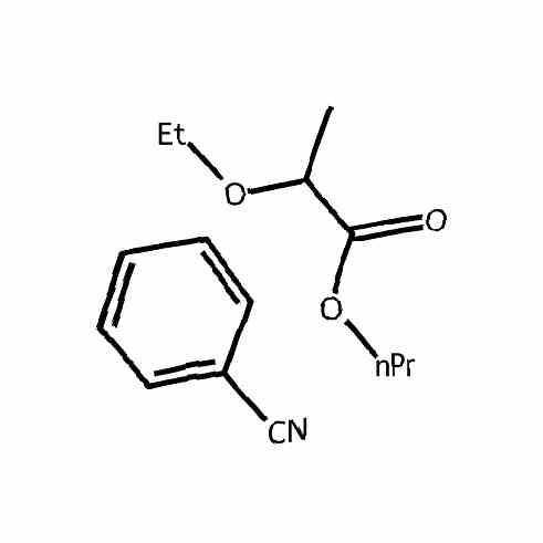 CCCOC(=O)C(C)OCC.N#Cc1ccccc1